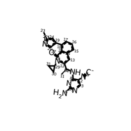 [C-]#[N+]c1cnc(N)nc1N[C@@H](C)c1cc2cccc(-c3cnn(C)c3)c2c(=O)n1C1CC1